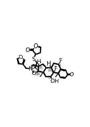 C[C@]12C=CC(=O)C=C1[C@@H](F)C[C@H]1C3C[C@H]4CN(Cc5ccoc5)O[C@@]4(C(=O)CSC4CCOC4=O)[C@@]3(C)C[C@H](O)[C@@]12F